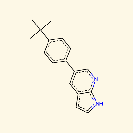 CC(C)(C)c1ccc(-c2cnc3[nH]ccc3c2)cc1